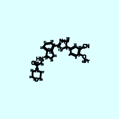 CC(C)Oc1ccc(C2SC(c3cccc4c3CC[C@@H]4NCC(=O)N3CCOCC3)=NN2C)cc1C#N